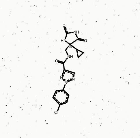 O=C1NC(=O)[C@](CNC(=O)c2cnn(-c3ccc(Cl)cc3)n2)(C2CC2)N1